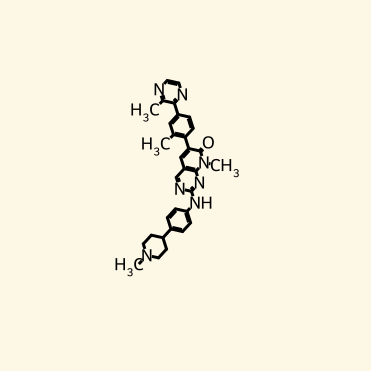 Cc1cc(-c2nccnc2C)ccc1-c1cc2cnc(Nc3ccc(C4CCN(C)CC4)cc3)nc2n(C)c1=O